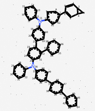 C1=CC2CC2C=C1c1ccc(N(c2ccccc2)c2ccc(-c3ccc(N(c4ccccc4)c4ccc(-c5ccc(-c6ccccc6)cc5)cc4)cc3-c3ccccc3)cc2)cc1